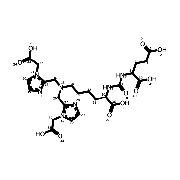 O=C(O)CCC(NC(=O)N[C@H](CCCCN(Cc1nccn1CC(=O)O)Cc1nccn1CC(=O)O)C(=O)O)C(=O)O